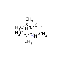 C/N=C(/N(C)C)N(C)[SH](C)C